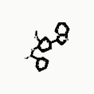 COc1cc(-c2cnc3ccccn23)ccc1O[C@@H](C)c1ccccc1